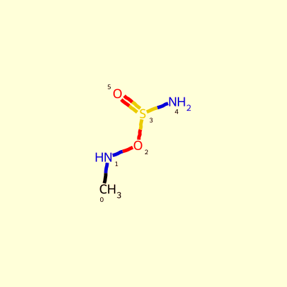 CNOS(N)=O